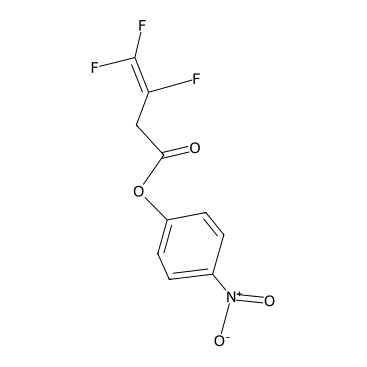 O=C(CC(F)=C(F)F)Oc1ccc([N+](=O)[O-])cc1